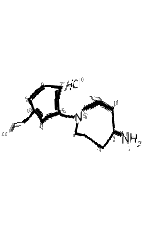 Cl.NC1CCN(c2cccc(F)c2)CC1